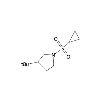 CC(C)(C)C1CCN(S(=O)(=O)C2CC2)C1